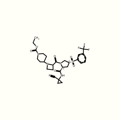 CCOC(=O)N1CCC(N2CCC2C(=O)N2C[C@H](S(=O)(=O)c3cccc(C(F)(F)F)c3)C[C@H]2C(=O)NC2(C#N)CC2)CC1